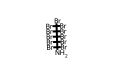 NC(Br)(Br)C(Br)(Br)C(Br)(Br)C(Br)(Br)C(Br)(Br)Br